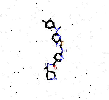 Cc1ccc(N(C)c2ccc3nc(Nc4ccc(C(=O)NC(C)C5CCNCC5)cn4)sc3n2)cc1